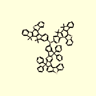 CC1(C)c2ccccc2-c2c1c1c(c3c2oc2ccccc23)-c2ccc(N(c3ccc4c(c3)C(C)(C)c3c5c(c6oc7ccccc7c6c3-4)-c3ccccc3C5(C)C)c3ccc4c(c3)C(c3ccccc3)(c3ccccc3)c3cc5c(cc3-4)C(c3ccccc3)(c3ccccc3)c3ccc4oc6ccccc6c4c3-5)cc2C1(C)C